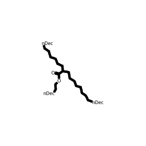 CCCCCCCCCCCCCCCCCCC(CCCCCCCCCCCCCCCC)C(=O)OCCCCCCCCCCCC